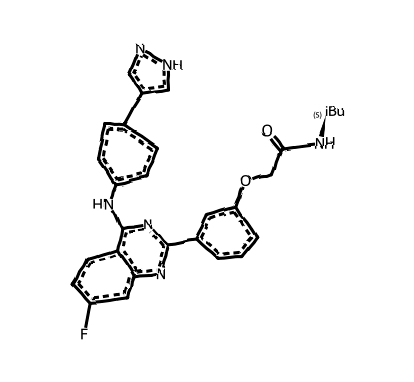 CC[C@H](C)NC(=O)COc1cccc(-c2nc(Nc3ccc(-c4cn[nH]c4)cc3)c3ccc(F)cc3n2)c1